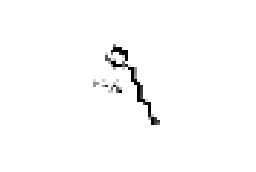 BrCCCCCCn1ccnc1.CC(=O)O